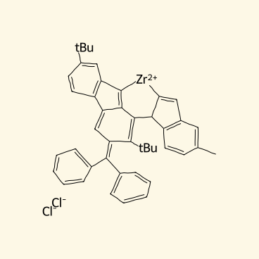 CC1=Cc2cc(C)ccc2C1c1c(C(C)(C)C)c(=C(c2ccccc2)c2ccccc2)cc2c1=[C]([Zr+2])c1cc(C(C)(C)C)ccc1-2.[Cl-].[Cl-]